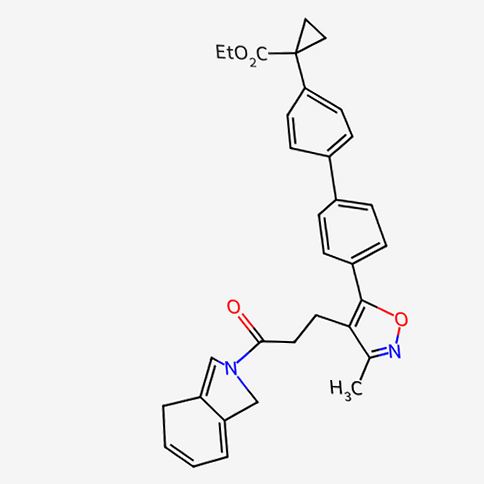 CCOC(=O)C1(c2ccc(-c3ccc(-c4onc(C)c4CCC(=O)N4C=C5CC=CC=C5C4)cc3)cc2)CC1